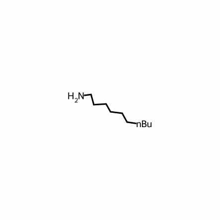 CC[CH]CCCCCCCN